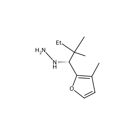 CCC(C)(C)[C@@H](NN)c1occc1C